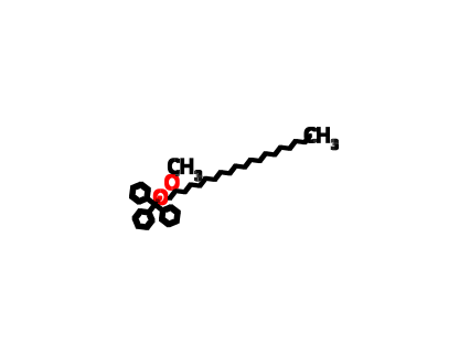 CCCCCCCCCCCCCCCCCCC(COC(c1ccccc1)(c1ccccc1)c1ccccc1)OCC